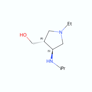 CCN1C[C@@H](CO)[C@H](NC(C)C)C1